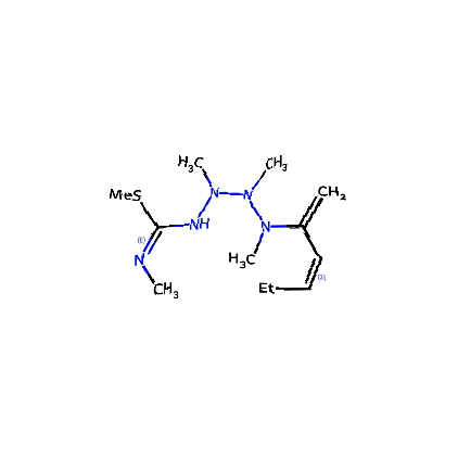 C=C(/C=C\CC)N(C)N(C)N(C)N/C(=N\C)SC